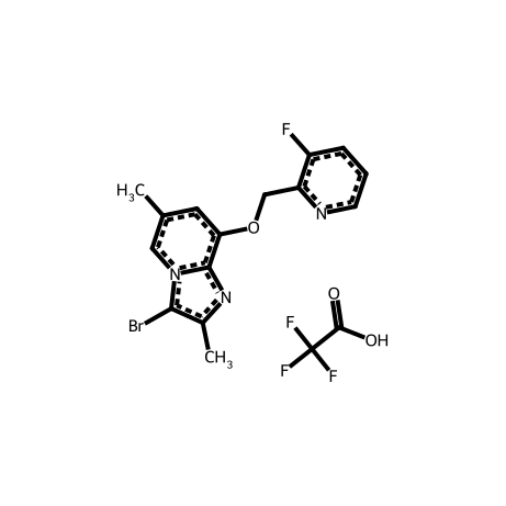 Cc1cc(OCc2ncccc2F)c2nc(C)c(Br)n2c1.O=C(O)C(F)(F)F